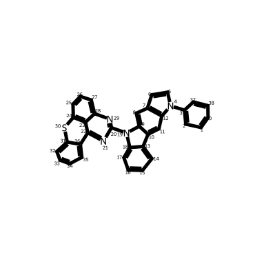 c1ccc(-n2ccc3cc4c(cc32)c2ccccc2n4-c2nc3c4c(cccc4n2)Sc2ccccc2-3)cc1